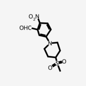 CS(=O)(=O)C1CCN(c2ccc([N+](=O)[O-])c(C=O)c2)CC1